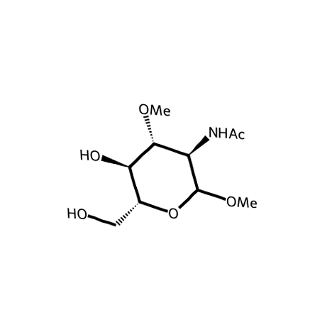 COC1O[C@H](CO)[C@@H](O)[C@H](OC)[C@H]1NC(C)=O